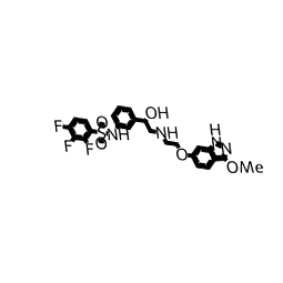 COc1n[nH]c2cc(OCCNCC(O)c3cccc(NS(=O)(=O)c4ccc(F)c(F)c4F)c3)ccc12